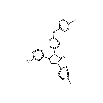 Cc1ccc(N2CC(c3cccc(C(F)(F)F)c3)N(c3ccc(Oc4ccc(Cl)cc4)cc3)C2=O)cc1